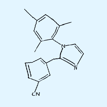 Cc1cc(C)c(-n2ccnc2-c2cccc(C#N)c2)c(C)c1